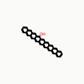 Oc1c2cc3cc4ccccc4cc3cc2cc2cc3cc4cc5cc6ccccc6cc5cc4cc3cc12